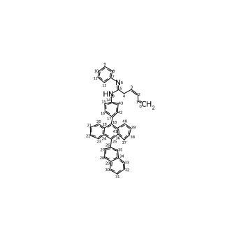 C=C/C=C\C/C(=N/c1ccccc1)Nc1ccc(-c2c3ccccc3c(-c3ccc4ccccc4c3)c3ccccc23)cc1